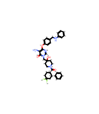 Nc1c(Oc2ccc(CNc3ccccc3)cc2)ncn(CC2(O)CCN(C(=O)[C@@H]3CCC(F)(F)C[C@H]3c3ccccc3)CC2)c1=O